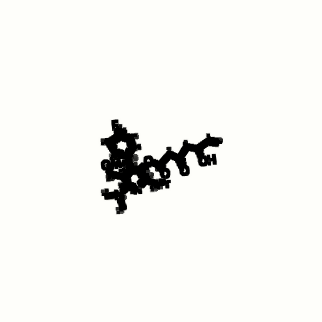 C=CC(O)CC(=O)CC(=O)Oc1c(C(C)C)nc(N(C)C)c(COC)c1-c1ccc(F)cc1